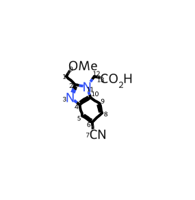 COCc1nc2cc(C#N)ccc2n1CC(=O)O